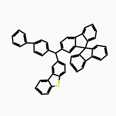 c1ccc(-c2ccc(C(c3ccc4c(c3)C3(c5ccccc5-c5ccccc53)c3ccccc3-4)c3ccc4sc5ccccc5c4c3)cc2)cc1